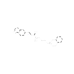 O=C(/C=C/c1ccc2[nH]ccc2c1)NCCCCN1CCc2ccccc2C1